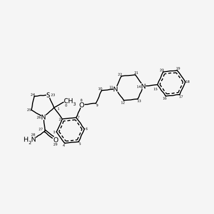 CC1(c2ccccc2OCCN2CCN(c3ccccc3)CC2)SCCN1C(N)=O